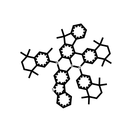 Cc1cc2c(cc1N1c3cc4sc5ccccc5c4cc3B3c4c1cc1c(c4-c4cc5c(cc4N3c3ccc4c(c3)C(C)(C)CCC4(C)C)C(C)(C)CCC5(C)C)-c3ccccc3C1(C)C)C(C)(C)CCC2(C)C